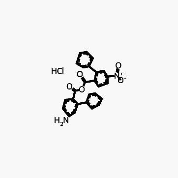 Cl.Nc1ccc(C(=O)OC(=O)c2ccc([N+](=O)[O-])cc2-c2ccccc2)c(-c2ccccc2)c1